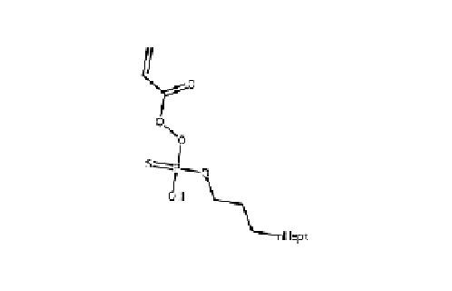 C=CC(=O)OOP(O)(=S)OCCCCCCCCCC